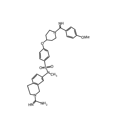 COc1ccc(C(=N)N2CCC(Oc3ccc(S(=O)(=O)N(C)c4ccc5c(c4)CN(C(=N)N)CC5)cc3)CC2)cc1